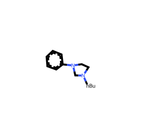 CCCCN1CCN(c2ccccc2)C1